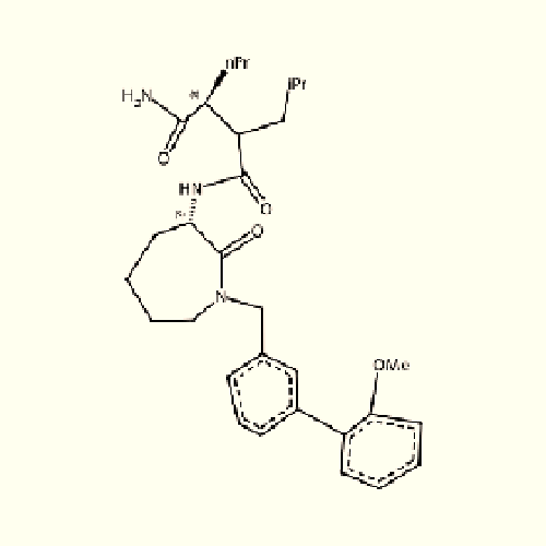 CCC[C@H](C(N)=O)C(CC(C)C)C(=O)N[C@H]1CCCCN(Cc2cccc(-c3ccccc3OC)c2)C1=O